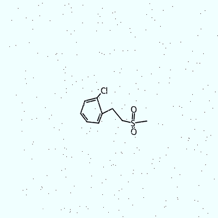 CS(=O)(=O)CCc1ccccc1Cl